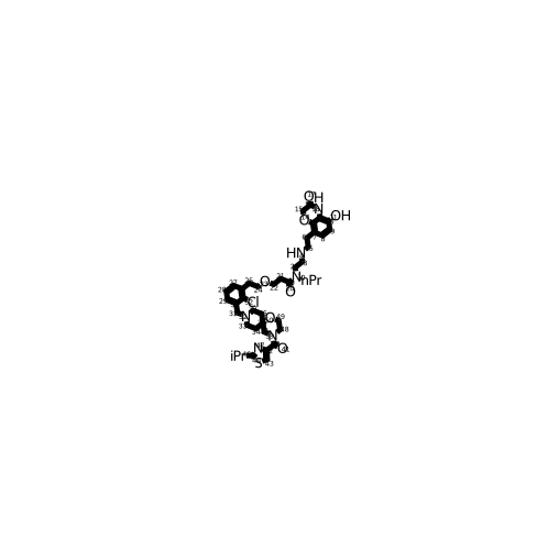 CCCN(CCNCCc1ccc(O)c2c1OCC(=O)N2)C(=O)CCOCCc1cccc(CN2CCC3(CC2)CN(C(=O)c2csc(C(C)C)n2)CCO3)c1Cl